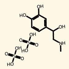 CNCC(O)c1ccc(O)c(O)c1.O=S(=O)(O)O.O=S(=O)(O)O